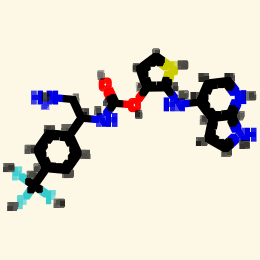 NCC(NC(=O)Oc1ccsc1Nc1ccnc2[nH]ccc12)c1ccc(C(F)(F)F)cc1